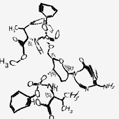 COC(=O)[C@@H](NP(=O)(OC[C@H]1O[C@@H](n2cnc(N)nc2=O)C[C@@H]1OP(=O)(N[C@H](C(=O)O)C(C)C)Oc1ccccc1)Oc1ccccc1)C(C)C